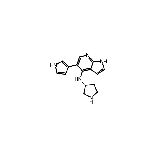 c1cc(-c2cnc3[nH]ccc3c2N[C@@H]2CCNC2)c[nH]1